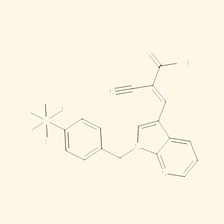 N#C/C(=C\c1cn(Cc2ccc(S(F)(F)(F)(F)F)cc2)c2ncccc12)C(=O)O